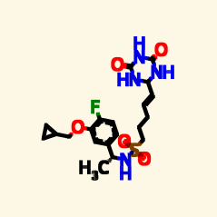 C[C@@H](NS(=O)(=O)CCC/C=C/C1NC(=O)NC(=O)N1)c1ccc(F)c(OCC2CC2)c1